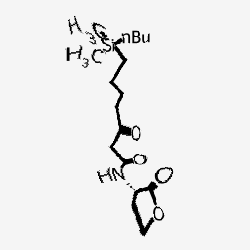 CCCC[Si](C)(C)CCCCC(=O)CC(=O)N[C@H]1CCOC1=O